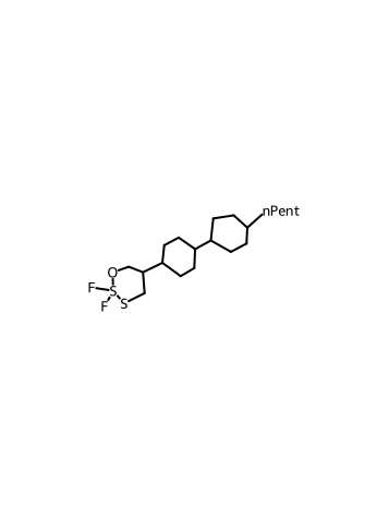 CCCCCC1CCC(C2CCC(C3COS(F)(F)SC3)CC2)CC1